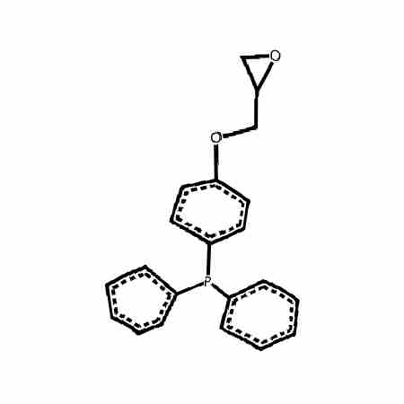 c1ccc(P(c2ccccc2)c2ccc(OCC3CO3)cc2)cc1